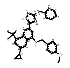 COc1ccc(CNc2cc(-c3nnc(Nc4ccccn4)o3)nc3c(C(C)(C)C)cc(C4CC4)cc23)cc1